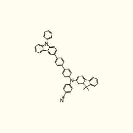 CC1(C)c2ccccc2-c2ccc(N(c3ccc(C#N)cc3)c3ccc(-c4ccc(-c5ccc6c(c5)c5ccccc5n6-c5ccccc5)cc4)cc3)cc21